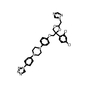 Clc1ccc(C2(COc3ccc(N4CCN(c5ccc(-n6cnnn6)cc5)CC4)cc3)COC(Cn3cncn3)O2)c(Cl)c1